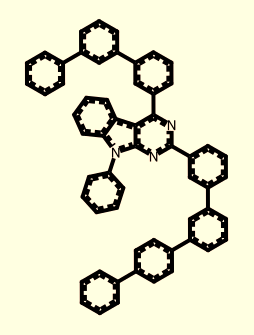 c1ccc(-c2ccc(-c3cccc(-c4cccc(-c5nc(-c6cccc(-c7cccc(-c8ccccc8)c7)c6)c6c7ccccc7n(-c7ccccc7)c6n5)c4)c3)cc2)cc1